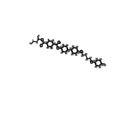 CCCC(C)OC(=O)c1ccc(C(=O)Oc2ccc(-c3ccc(OCCCCOc4ccc(C)cc4)cc3)cc2)cc1